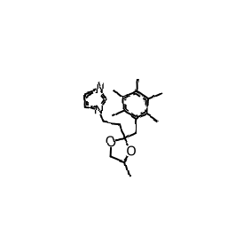 Cc1c(C)c(C)c(CC2(CCn3ccnc3)OCC(C)O2)c(C)c1C